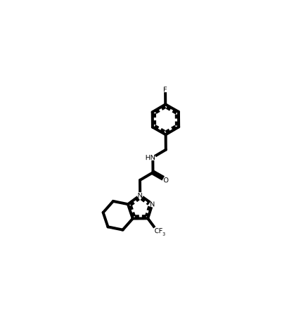 O=C(Cn1nc(C(F)(F)F)c2c1CCCC2)NCc1ccc(F)cc1